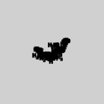 CC[C@H](C)[C@@H]([C@@H](CC(=O)N1CCC[C@H]1[C@H](OC)[C@@H](C)C(=O)N[C@@H](Cc1ccccc1)c1nccs1)OC)N(C)C(=O)CNC(=O)[C@H](C(C)C)N(C)C(=O)OCc1ccc(NC(=O)[C@H](CCCNC(N)=O)NC(=O)[C@@H](NC(=O)CCCCCN2C3OC3C=CC3OC32)C(C)C)cc1